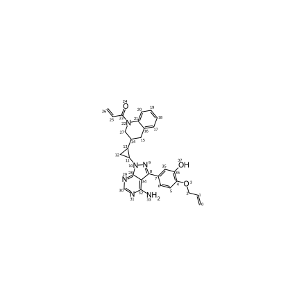 C=CCOc1ccc(-c2nn(C3CC3C3Cc4ccccc4N(C(=O)C=C)C3)c3ncnc(N)c23)cc1O